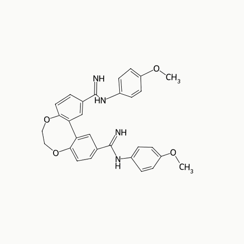 COc1ccc(NC(=N)c2ccc3c(c2)-c2cc(C(=N)Nc4ccc(OC)cc4)ccc2OCCO3)cc1